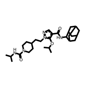 CC(C)NC(=O)N1CCC(CCn2ncc(C(=O)NC3C4CC5CC(C4)CC3C5)c2OC(C)C)CC1